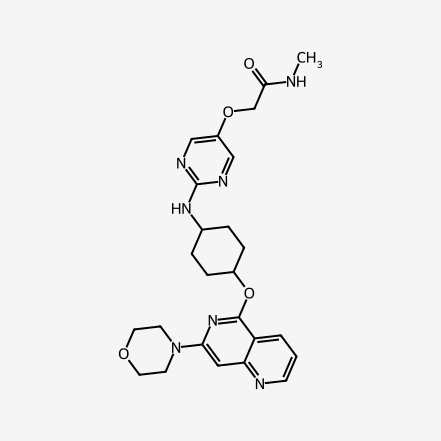 CNC(=O)COc1cnc(NC2CCC(Oc3nc(N4CCOCC4)cc4ncccc34)CC2)nc1